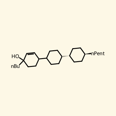 CCCCC[C@H]1CC[C@H](C2CCC(C3C=CC(O)(CCCC)CC3)CC2)CC1